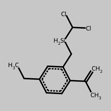 C=C(C)c1ccc(CC)cc1C[SiH2]C(Cl)Cl